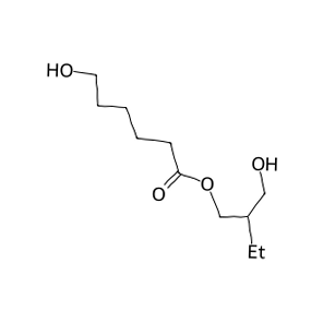 CCC(CO)COC(=O)CCCCCO